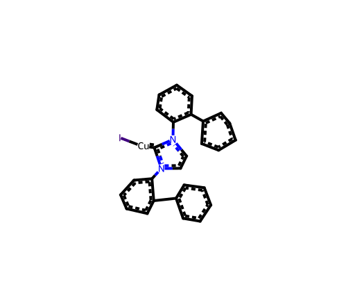 [I][Cu]=[c]1n(-c2ccccc2-c2ccccc2)ccn1-c1ccccc1-c1ccccc1